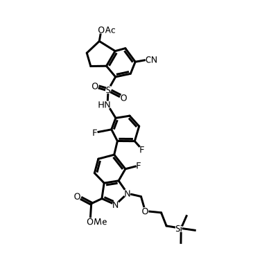 COC(=O)c1nn(COCC[Si](C)(C)C)c2c(F)c(-c3c(F)ccc(NS(=O)(=O)c4cc(C#N)cc5c4CCC5OC(C)=O)c3F)ccc12